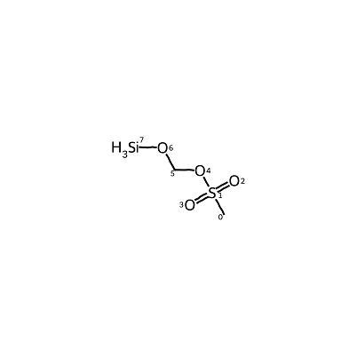 CS(=O)(=O)OCO[SiH3]